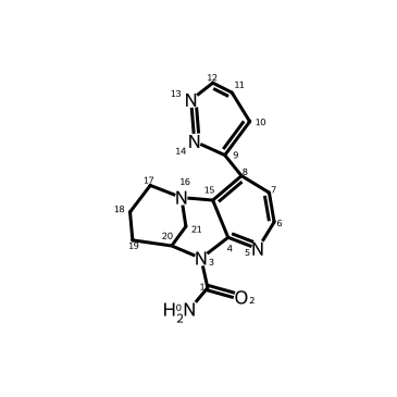 NC(=O)N1c2nccc(-c3cccnn3)c2N2CCCC1C2